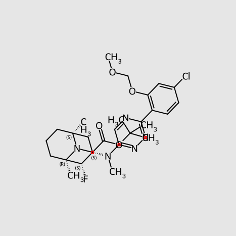 COCOc1cc(Cl)ccc1-c1ncc(N(C)[C@H]2C[C@]3(C)CCC[C@](C)([C@H]2F)N3CC(=O)OC(C)(C)C)nn1